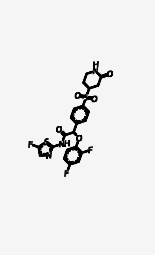 O=C1CC(S(=O)(=O)c2ccc(C(Oc3ccc(F)cc3F)C(=O)Nc3ncc(F)s3)cc2)CCN1